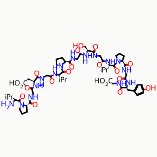 CC(C)[C@H](N)C(=O)N1CCC[C@H]1C(=O)NCC(=O)N[C@@H](CC(=O)O)C(=O)NCC(=O)N[C@H](C(=O)N1CCC[C@H]1C(=O)NCC(=O)N[C@@H](CO)C(=O)NCC(=O)N[C@H](C(=O)N1CCC[C@H]1C(=O)NCC(=O)N[C@@H](Cc1ccc(O)cc1)C(=O)NCC(=O)O)C(C)C)C(C)C